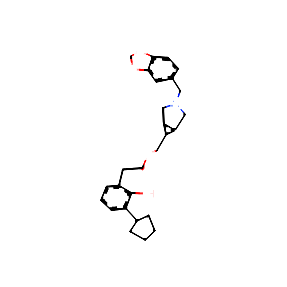 O=C(Cc1cccc(C2CCCC2)c1O)OCC1C2CN(Cc3ccc4c(c3)OCO4)CC12